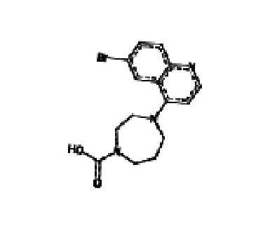 O=C(O)N1CCCN(c2ccnc3ccc(Br)cc23)CC1